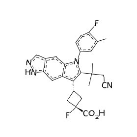 Cc1cc(-n2c(C(C)(C)CC#N)c([C@H]3C[C@](F)(C(=O)O)C3)c3cc4[nH]ncc4cc32)ccc1F